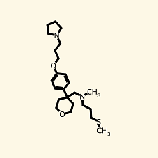 CSCCCN(C)CC1(c2ccc(OCCCN3CCCC3)cc2)CCOCC1